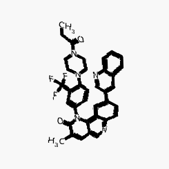 CCC(=O)N1CCN(c2ccc(-n3c(=O)c(C)cc4cnc5ccc(-c6cnc7ccccc7c6)cc5c43)cc2C(F)(F)F)CC1